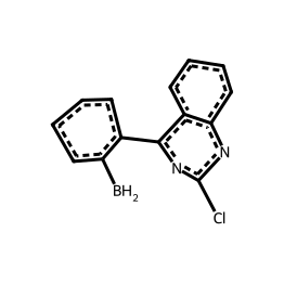 Bc1ccccc1-c1nc(Cl)nc2ccccc12